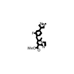 COC(=O)c1cc(Cc2ccc(-c3cnn(C)c3)cc2F)c(C)n2ccnc12